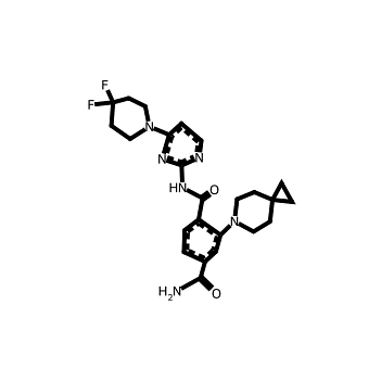 NC(=O)c1ccc(C(=O)Nc2nccc(N3CCC(F)(F)CC3)n2)c(N2CCC3(CC2)CC3)c1